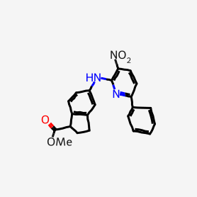 COC(=O)C1CCc2cc(Nc3nc(-c4ccccc4)ccc3[N+](=O)[O-])ccc21